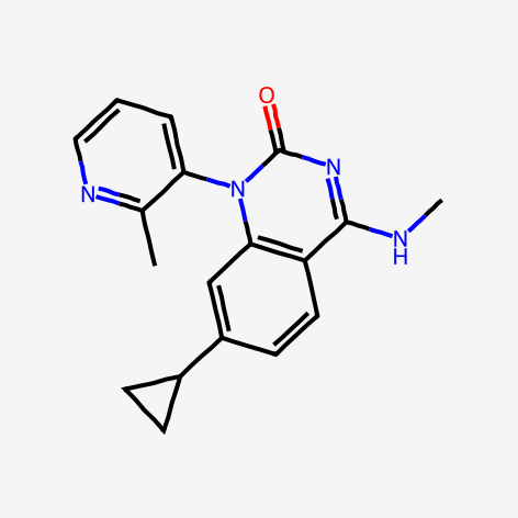 CNc1nc(=O)n(-c2cccnc2C)c2cc(C3CC3)ccc12